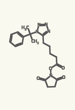 CC(C)(c1ccccc1)n1nnnc1CCCCC(=O)ON1C(=O)CCC1=O